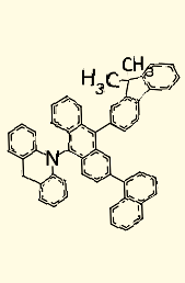 CC1(C)c2ccccc2-c2ccc(-c3c4ccccc4c(N4c5ccccc5Cc5ccccc54)c4ccc(-c5cccc6ccccc56)cc34)cc21